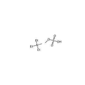 CC[N+](C)(CC)CC.COS(=O)(=O)O